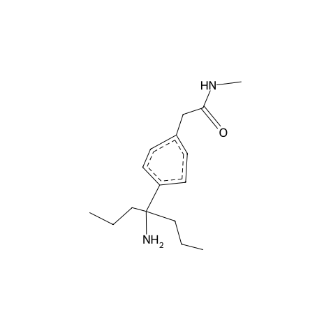 CCCC(N)(CCC)c1ccc(CC(=O)NC)cc1